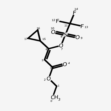 CCOC(=O)/C=C(\OS(=O)(=O)C(F)(F)F)C1CC1